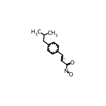 CC(C)Cc1ccc(/C=C/C(=O)N=O)cc1